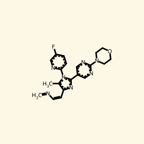 C=N/C=C\c1nc(-c2cnc(N3CCOCC3)nc2)n(-c2ccc(F)cn2)c1C